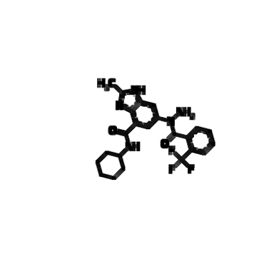 Cc1nc2c(C(=O)NC3CCCCC3)cc(N(N)C(=O)c3ccccc3C(F)(F)F)cc2[nH]1